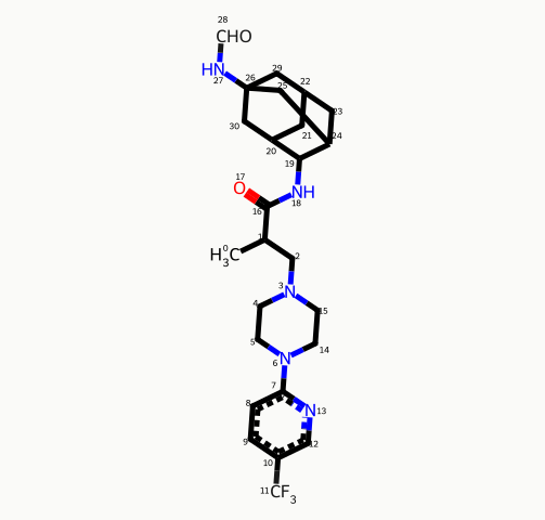 CC(CN1CCN(c2ccc(C(F)(F)F)cn2)CC1)C(=O)NC1C2CC3CC1CC(NC=O)(C3)C2